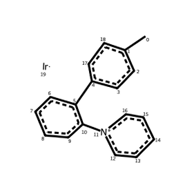 Cc1ccc(-c2ccccc2-[n+]2ccccc2)cc1.[Ir]